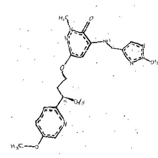 COc1ccc([C@H](C)CCOc2cc(NCc3cnn(C)n3)c(=O)n(C)n2)nc1